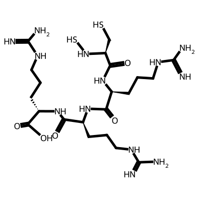 N=C(N)NCCC[C@H](NC(=O)[C@H](CCCNC(=N)N)NC(=O)[C@H](CCCNC(=N)N)NC(=O)[C@H](CS)NS)C(=O)O